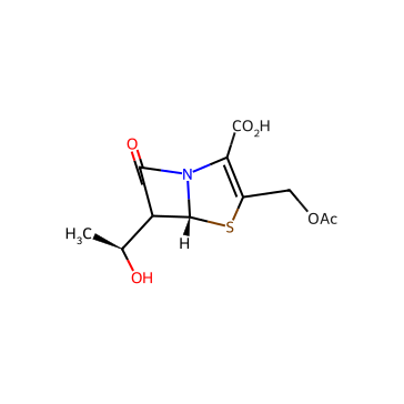 CC(=O)OCC1=C(C(=O)O)N2C(=O)C([C@H](C)O)[C@H]2S1